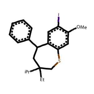 CCC1(C(C)C)CSc2cc(OC)c(I)cc2C(c2ccccc2)C1